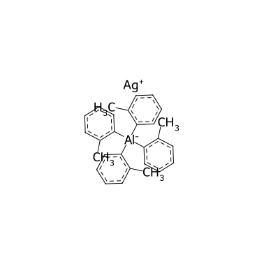 Cc1cccc[c]1[Al-]([c]1ccccc1C)([c]1ccccc1C)[c]1ccccc1C.[Ag+]